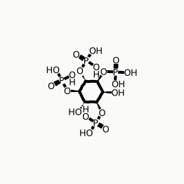 O=P(O)(O)O[C@H]1[C@H](O)[C@@H](OP(=O)(O)O)[C@H](OP(=O)(O)O)[C@@H](OP(=O)(O)O)[C@H]1O